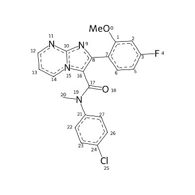 COc1cc(F)ccc1-c1nc2ncccn2c1C(=O)N(C)c1ccc(Cl)cc1